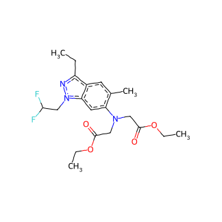 CCOC(=O)CN(CC(=O)OCC)c1cc2c(cc1C)c(CC)nn2CC(F)F